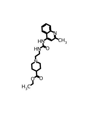 CCOC(=O)C1CCN(CCNC(=O)Nc2cc(C)nc3ccccc23)CC1